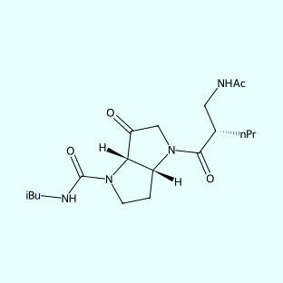 CCC[C@@H](CNC(C)=O)C(=O)N1CC(=O)[C@@H]2[C@H]1CCN2C(=O)NC(C)CC